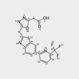 O=C(O)Cc1nnc(Cc2nc3ccc(-c4cccc(C(F)(F)F)n4)cc3s2)o1